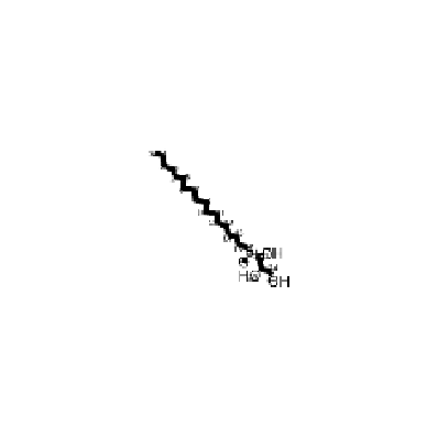 CCCCCCCCCCCCCCCCCC[PH](=O)C(O)C(O)CO